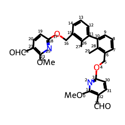 COc1nc(OCc2cccc(-c3cccc(COc4ccc(C=O)c(OC)n4)c3C)c2C)ccc1C=O